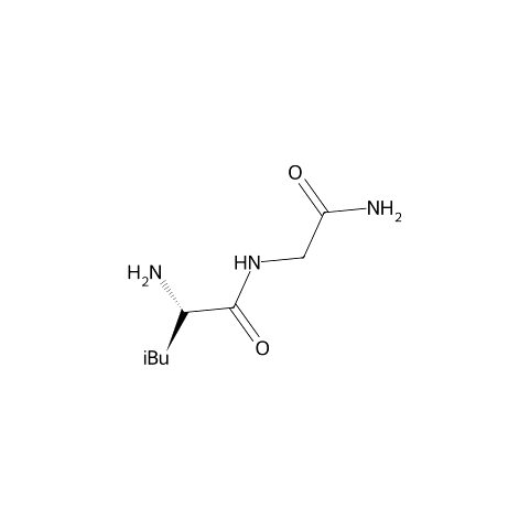 CC[C@H](C)[C@H](N)C(=O)NCC(N)=O